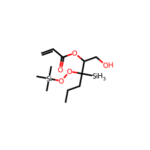 C=CC(=O)OC(CO)C([SiH3])(CCC)OO[Si](C)(C)C